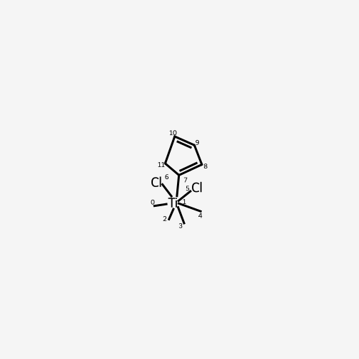 [CH3][Ti]([CH3])([CH3])([CH3])([Cl])([Cl])[C]1=CC=CC1